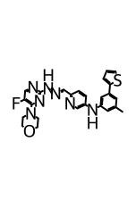 Cc1cc(Nc2ccc(/C=N/Nc3ncc(F)c(N4CCOCC4)n3)nc2)cc(-c2cccs2)c1